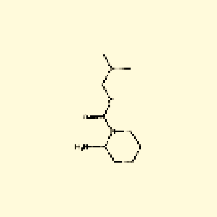 CC(C)COC(=O)N1CCCCC1N